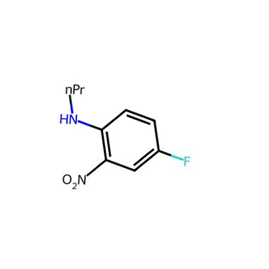 CCCNc1ccc(F)cc1[N+](=O)[O-]